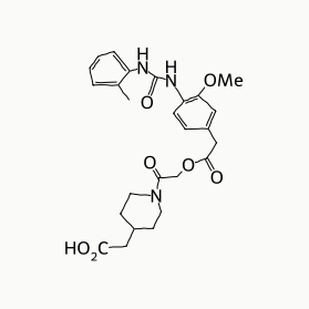 COc1cc(CC(=O)OCC(=O)N2CCC(CC(=O)O)CC2)ccc1NC(=O)Nc1ccccc1C